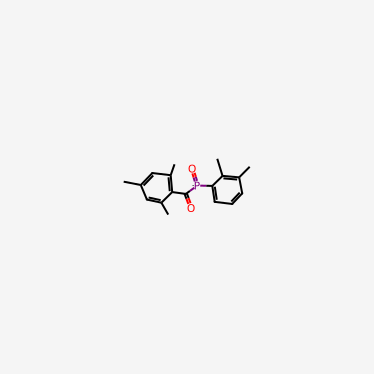 Cc1cc(C)c(C(=O)[P](=O)c2cccc(C)c2C)c(C)c1